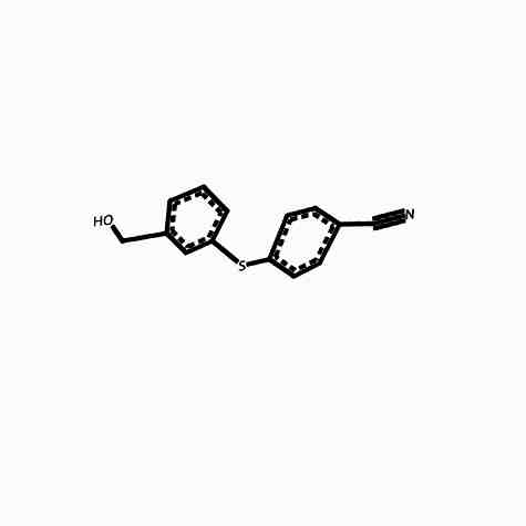 N#Cc1ccc(Sc2cccc(CO)c2)cc1